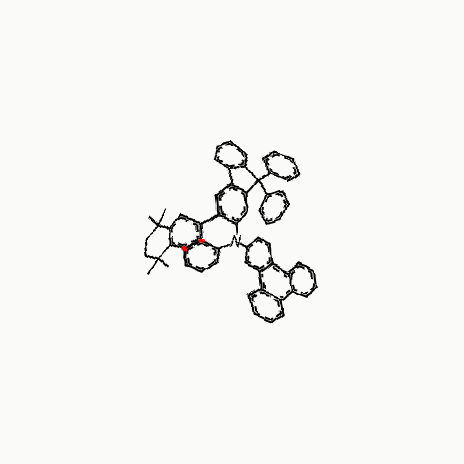 CC1(C)CCC(C)(C)c2cc(-c3cc4c(cc3N(c3ccccc3)c3ccc5c6ccccc6c6ccccc6c5c3)C(c3ccccc3)(c3ccccc3)c3ccccc3-4)ccc21